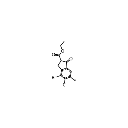 CCOC(=O)C1Cc2c(cc(F)c(Cl)c2Br)C1=O